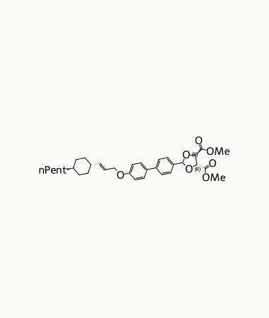 CCCCC[C@H]1CC[C@H](C=CCOc2ccc(-c3ccc(C4O[C@@H](C(=O)OC)[C@H](C(=O)OC)O4)cc3)cc2)CC1